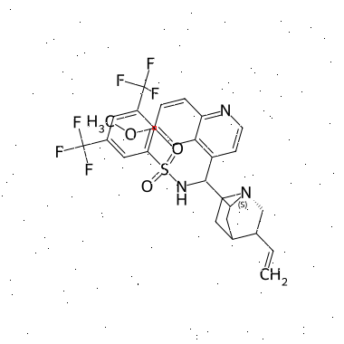 C=CC1C[N@@]2CCC1CC2C(NS(=O)(=O)c1cc(C(F)(F)F)cc(C(F)(F)F)c1)c1ccnc2ccc(OC)cc12